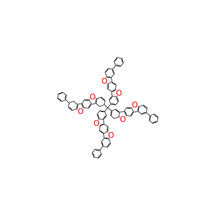 C1=CC(c2ccccc2)Cc2c1oc1cc3c4c(oc3cc21)C=CC(C(C1=CCC2Oc3cc5c(cc3C2=C1)oc1ccc(-c2ccccc2)cc15)(c1ccc2oc3cc5c(cc3c2c1)oc1ccc(-c2ccccc2)cc15)c1ccc2oc3cc5c(cc3c2c1)oc1ccc(-c2ccccc2)cc15)C4